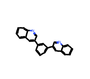 c1cc(-c2cnc3ccccc3c2)cc(-c2cnc3ccccc3c2)c1